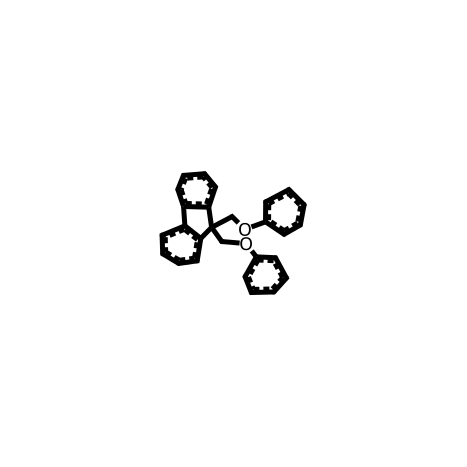 c1ccc(OCC2(COc3ccccc3)c3ccccc3-c3ccccc32)cc1